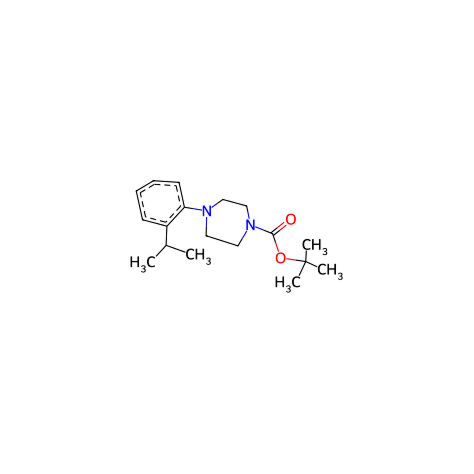 CC(C)c1ccccc1N1CCN(C(=O)OC(C)(C)C)CC1